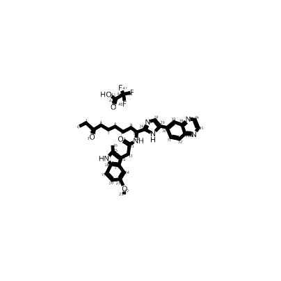 CCC(=O)CCCCCC(NC(=O)Cc1c(C)[nH]c2ccc(OC)cc12)c1ncc(-c2ccc3nccnc3c2)[nH]1.O=C(O)C(F)(F)F